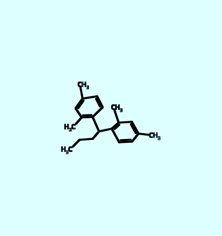 CCCC(c1ccc(C)cc1C)c1ccc(C)cc1C